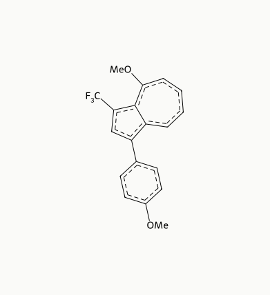 COc1ccc(-c2cc(C(F)(F)F)c3c(OC)ccccc2-3)cc1